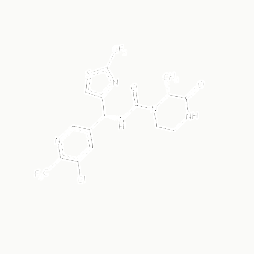 C[C@@H]1C(=O)NCCN1C(=O)N[C@H](c1cnc(C(F)(F)F)c(Cl)c1)c1csc(C(F)(F)F)n1